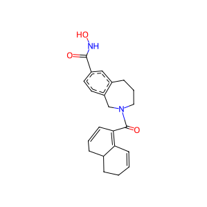 O=C(NO)c1ccc2c(c1)CCCN(C(=O)C1=C3C=CCCC3CC=C1)C2